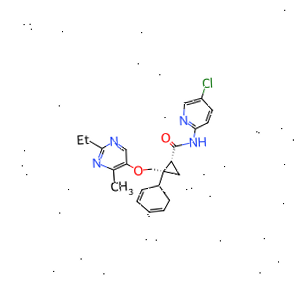 CCc1ncc(OC[C@@]2(C3C=CC=CC3)C[C@H]2C(=O)Nc2ccc(Cl)cn2)c(C)n1